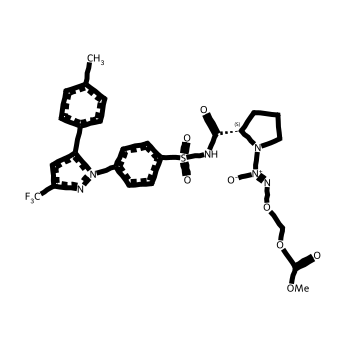 COC(=O)OCON=[N+]([O-])N1CCC[C@H]1C(=O)NS(=O)(=O)c1ccc(-n2nc(C(F)(F)F)cc2-c2ccc(C)cc2)cc1